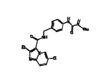 CCc1nc2ccc(Cl)cn2c1C(=O)NCc1ccc(NC(=O)NC(C)(C)C)cc1